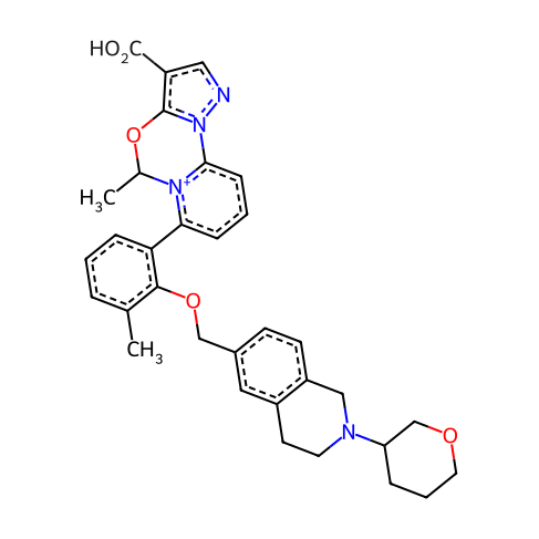 Cc1cccc(-c2cccc3[n+]2C(C)Oc2c(C(=O)O)cnn2-3)c1OCc1ccc2c(c1)CCN(C1CCCOC1)C2